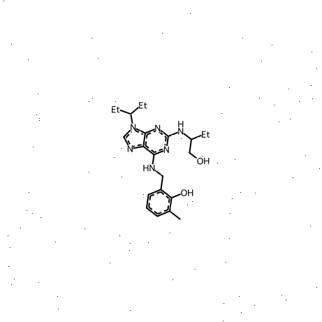 CCC(CO)Nc1nc(NCc2cccc(C)c2O)c2ncn(C(CC)CC)c2n1